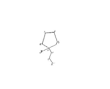 [CH2]CCC1(F)CCCC1